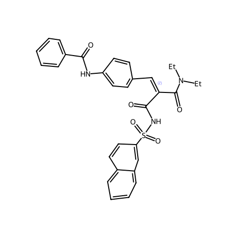 CCN(CC)C(=O)/C(=C/c1ccc(NC(=O)c2ccccc2)cc1)C(=O)NS(=O)(=O)c1ccc2ccccc2c1